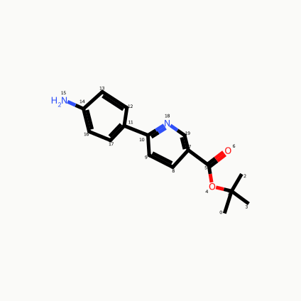 CC(C)(C)OC(=O)c1ccc(-c2ccc(N)cc2)nc1